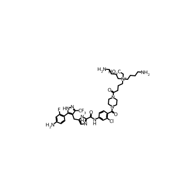 NCCCC[N+](CCCCN)(CCCC(=O)N1CCN(C(=O)c2ccc(NC(=O)c3ncc(Cc4c(C(F)(F)F)n[nH]c4-c4ccc(N)cc4F)[nH]3)cc2Cl)CC1)CC(=O)O